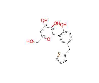 OC[C@@H]1C[C@H](O)[C@@H](O)C(c2cc(Cc3cccs3)ccc2O)O1